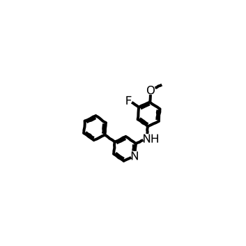 COc1ccc(Nc2cc(-c3ccccc3)ccn2)cc1F